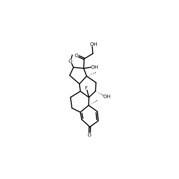 COC1CC2C3CCC4=CC(=O)C=C[C@]4(C)C3(F)[C@@H](O)C[C@]2(C)C1(O)C(=O)CO